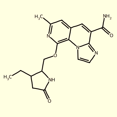 CCC1CC(=O)NC1COc1nc(C)cc2cc(C(N)=O)c3nccn3c12